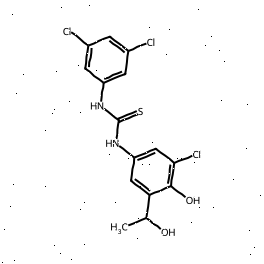 CC(O)c1cc(NC(=S)Nc2cc(Cl)cc(Cl)c2)cc(Cl)c1O